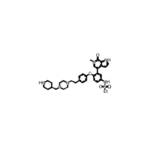 CCS(=O)(=O)Nc1ccc(Oc2ccc(CCN3CCN(CC4CCNCC4)CC3)cc2)c(-c2cn(C)c(=O)c3[nH]ccc23)c1